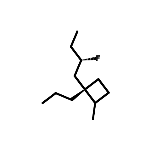 CCC[C@@]1(C[C@@H](F)CC)CCC1C